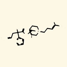 C=CCC(O)(C(=O)O[C@H]1C[N+]2(CCC=C(C)C)CCC1CC2)c1cccs1